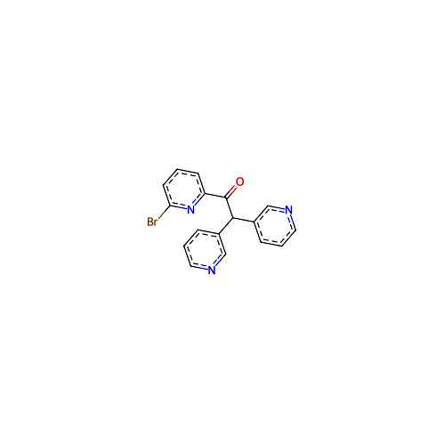 O=C(c1cccc(Br)n1)C(c1cccnc1)c1cccnc1